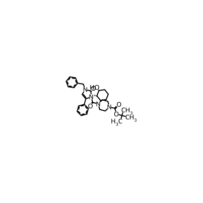 CC(C)(C)OC(=O)N1CCN(C(=O)[N+]2([C@@H]3CCCC[C@H]3O)C(=O)N(Cc3ccccc3)C=C2c2ccccc2)CC1